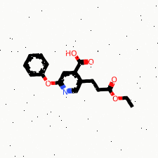 CCOC(=O)CCc1cnc(Oc2ccccc2)cc1C(=O)O